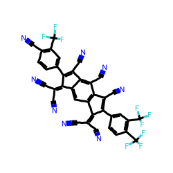 N#CC(C#N)=C1C(c2ccc(C#N)c(C(F)(F)F)c2)=C(C#N)c2c1cc1c(c2C#N)C(C#N)=C(c2ccc(C(F)(F)F)c(C(F)(F)F)c2)C1=C(C#N)C#N